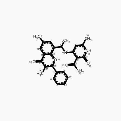 Cc1cc(C(C)Nc2cc(C)[nH]c(=O)c2C(N)=O)c2oc(-c3ccccc3)c(C)c(=O)c2c1